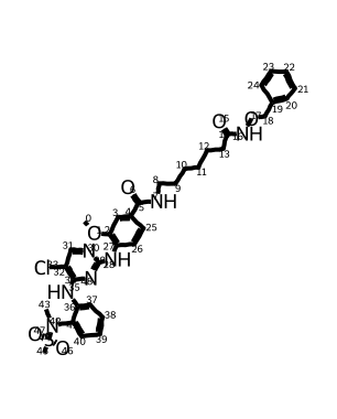 COc1cc(C(=O)NCCCCCCC(=O)NOCc2ccccc2)ccc1Nc1ncc(Cl)c(Nc2ccccc2N(C)S(C)(=O)=O)n1